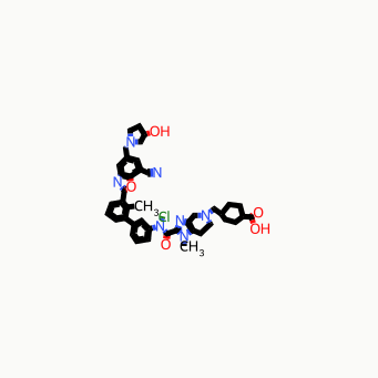 Cc1c(-c2cccc(N(Cl)C(=O)c3nc4c(n3C)CCN(CC3CCC(C(=O)O)CC3)C4)c2)cccc1-c1nc2cc(CN3CCC(O)C3)cc(C#N)c2o1